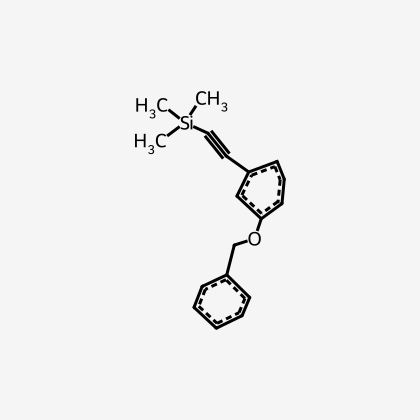 C[Si](C)(C)C#Cc1cccc(OCc2ccccc2)c1